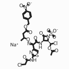 CC(=O)OC(Cl)[C@H]1[C@@H](NC(=O)/C(=N\OC(C)CC(=O)OCc2ccc([N+](=O)[O-])cc2)c2csc(NC(=O)CCl)n2)C(=O)N1S(=O)(=O)[O-].[Na+]